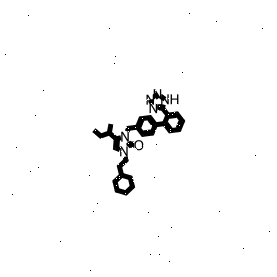 CCC(C)c1cn(CCC2CCCCC2)c(=O)n1Cc1ccc(-c2ccccc2-c2nnn[nH]2)cc1